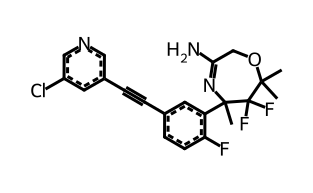 CC1(C)OCC(N)=NC(C)(c2cc(C#Cc3cncc(Cl)c3)ccc2F)C1(F)F